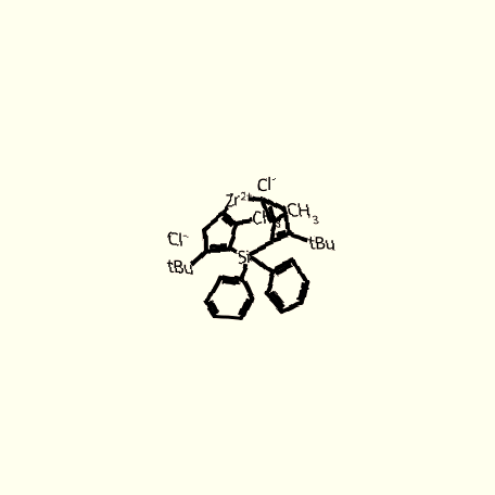 CC1=[C]2CC(C(C)(C)C)=C1[Si](c1ccccc1)(c1ccccc1)C1=C(C(C)(C)C)C[C](=C1C)[Zr+2]2.[Cl-].[Cl-]